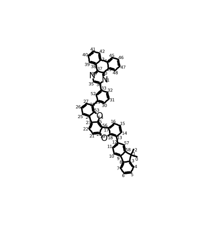 CC1(C)c2ccccc2-c2ccc(-c3cccc4c3oc3ccc5c6cccc(-c7cccc(-c8cnc9c%10ccccc%10c%10ccccc%10c9n8)c7)c6oc5c34)cc21